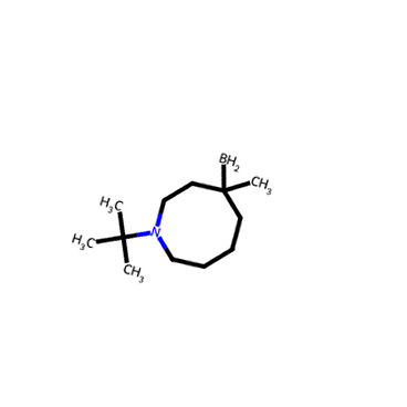 BC1(C)CCCCN(C(C)(C)C)CC1